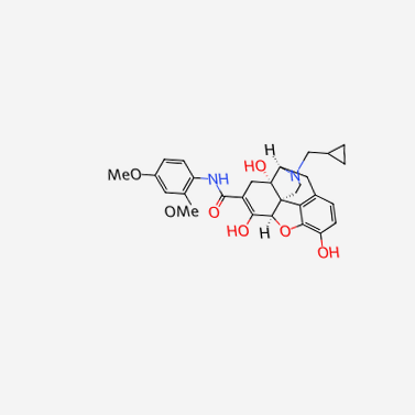 COc1ccc(NC(=O)C2=C(O)[C@@H]3Oc4c(O)ccc5c4[C@@]34CCN(CC3CC3)[C@H](C5)[C@]4(O)C2)c(OC)c1